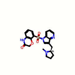 CN1CCC[C@@H]1Cc1cn(S(=O)(=O)c2cccc3c2OCC(=O)N3)c2cccnc12